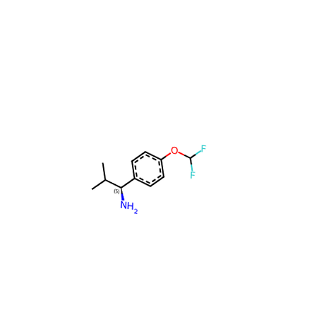 CC(C)[C@H](N)c1ccc(OC(F)F)cc1